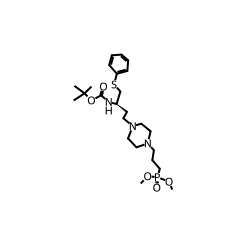 COP(=O)(CCCN1CCN(CC[C@H](CSc2ccccc2)NC(=O)OC(C)(C)C)CC1)OC